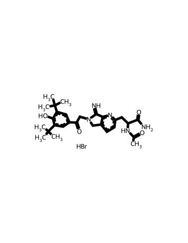 Br.CC(=O)NC(Cc1ccc2c(n1)C(=N)N(CC(=O)c1cc(C(C)(C)C)c(O)c(C(C)(C)C)c1)C2)C(N)=O